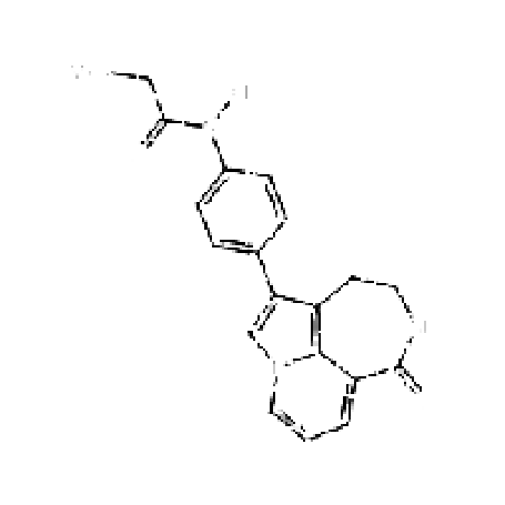 CNCC(=O)N(C)c1ccc(-c2cn3cccc4c3c2CCNC4=O)cc1